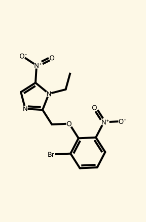 CCn1c([N+](=O)[O-])cnc1COc1c(Br)cccc1[N+](=O)[O-]